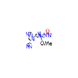 COCCC1(n2cc(-c3nc(-c4cnn(C)c4)cc4nccn34)cn2)CN(C(=O)N(C)C)C1